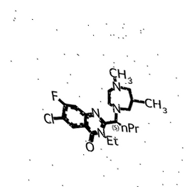 CCC[C@@H](c1nc2cc(F)c(Cl)cc2c(=O)n1CC)N1CCN(C)CC(C)C1